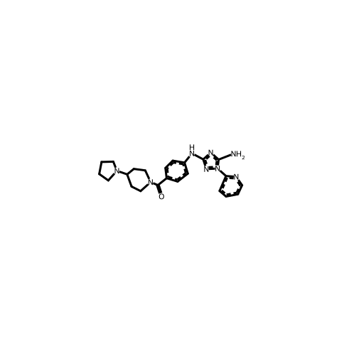 Nc1nc(Nc2ccc(C(=O)N3CCC(N4CCCC4)CC3)cc2)nn1-c1ccccn1